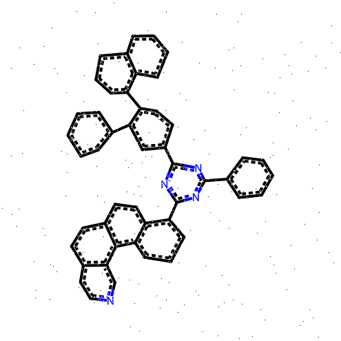 c1ccc(-c2nc(-c3ccc(-c4cccc5ccccc45)c(-c4ccccc4)c3)nc(-c3cccc4c3ccc3ccc5ccncc5c34)n2)cc1